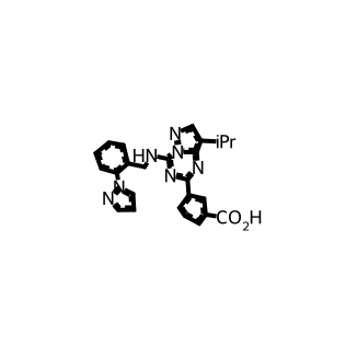 CC(C)c1cnn2c(NCc3ccccc3-n3cccn3)nc(-c3cccc(C(=O)O)c3)nc12